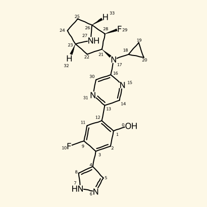 Oc1cc(-c2cn[nH]c2)c(F)cc1-c1cnc(N(C2CC2)[C@H]2C[C@@H]3CC[C@@H](N3)[C@H]2F)cn1